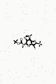 CN(C(=O)OC(C)(C)C)c1nc2c(I)c([Si](C)(C)C)sc2c2c1ncn2C